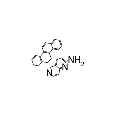 C1=CC2=C(CC1)CCc1c2ccc2ccccc12.Nc1ccc2cnccc2n1